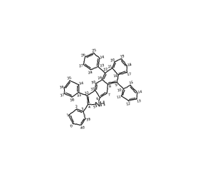 c1ccc(-c2[nH]c3cc4c(-c5ccccc5)c5ccccc5c(-c5ccccc5)c4cc3c2-c2ccccc2)cc1